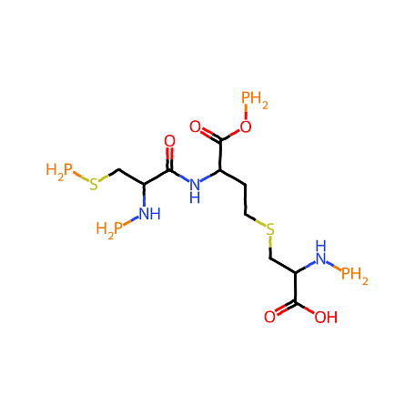 O=C(O)C(CSCCC(NC(=O)C(CSP)NP)C(=O)OP)NP